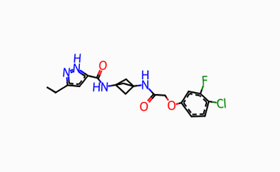 CCc1cc(C(=O)NC23CC(NC(=O)COc4ccc(Cl)c(F)c4)(C2)C3)[nH]n1